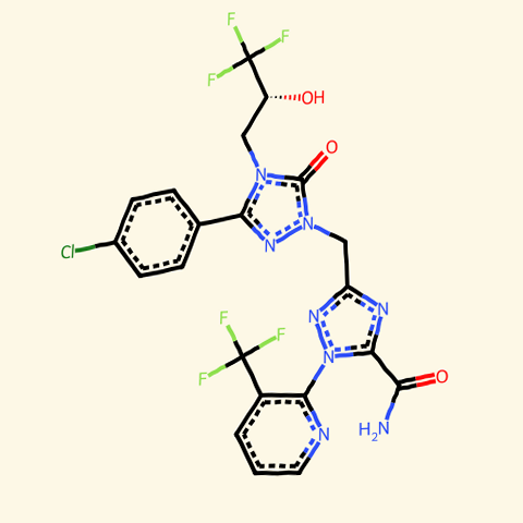 NC(=O)c1nc(Cn2nc(-c3ccc(Cl)cc3)n(C[C@@H](O)C(F)(F)F)c2=O)nn1-c1ncccc1C(F)(F)F